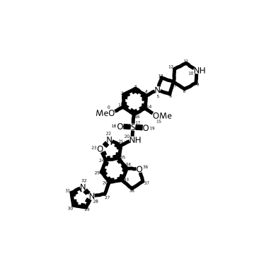 COc1ccc(N2CC3(CCNCC3)C2)c(OC)c1S(=O)(=O)Nc1noc2cc(Cn3cccn3)c3c(c12)OCC3